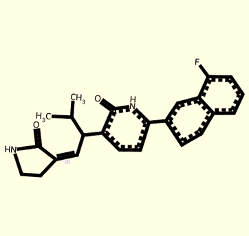 CC(C)C(/C=C1/CCNC1=O)c1ccc(-c2ccc3cccc(F)c3c2)[nH]c1=O